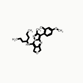 CCCC(CCC)Nc1c2c(nc3c(-c4ccc(OC)cc4Cl)c(C)nn13)COC2